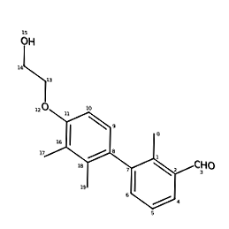 Cc1c(C=O)cccc1-c1ccc(OCCO)c(C)c1C